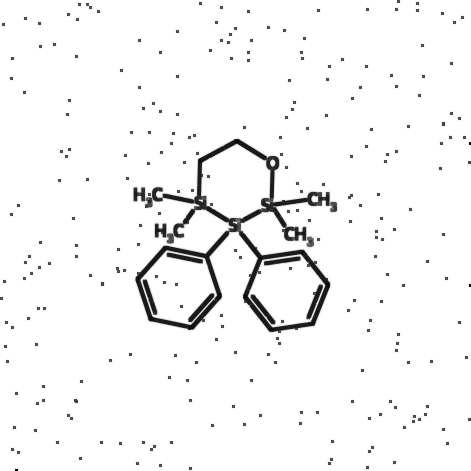 C[Si]1(C)CCO[Si](C)(C)[Si]1(c1ccccc1)c1ccccc1